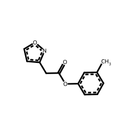 Cc1cccc(OC(=O)Cc2ccon2)c1